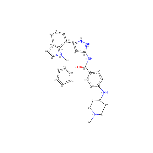 CN1CCC(Nc2ccc(C(=O)Nc3cc(-c4cccc5ccn(Cc6ccccc6)c45)n[nH]3)cc2)CC1